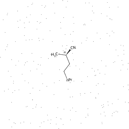 [CH2][C@@H](C#N)CCCCC